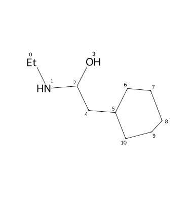 CCNC(O)CC1CCCCC1